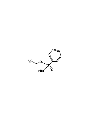 CCCCP(=O)(OCC(F)(F)F)c1ccccc1